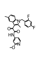 COc1cc(NC(=O)C(=O)c2c(C)n(Cc3ccc(F)cc3F)c3ccc(C)cc23)ccn1